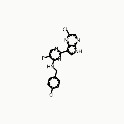 Fc1cnc(-c2c[nH]c3ncc(Cl)nc23)nc1NCc1ccc(Cl)cc1